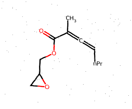 CCCC=C=C(C)C(=O)OCC1CO1